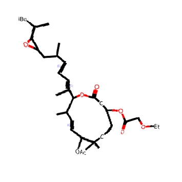 CCOCC(=O)OC1CCC(C)(C)C(OC(C)=O)/C=C/C(C)C(/C(C)=C/C=C/C(C)CC2OC2C(C)C(C)CC)OC(=O)C1